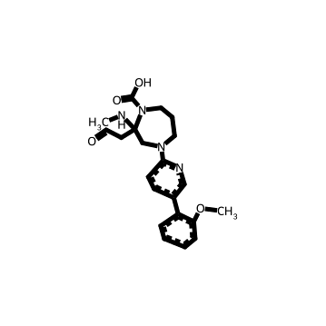 CNC1(CC=O)CN(c2ccc(-c3ccccc3OC)cn2)CCCN1C(=O)O